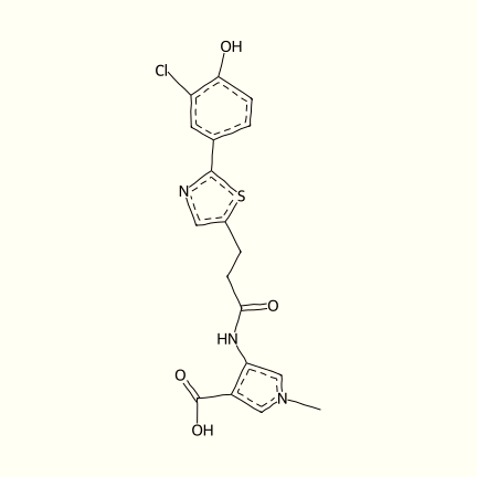 Cn1cc(NC(=O)CCc2cnc(-c3ccc(O)c(Cl)c3)s2)c(C(=O)O)c1